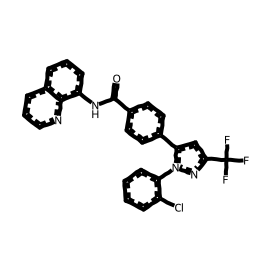 O=C(Nc1cccc2cccnc12)c1ccc(-c2cc(C(F)(F)F)nn2-c2ccccc2Cl)cc1